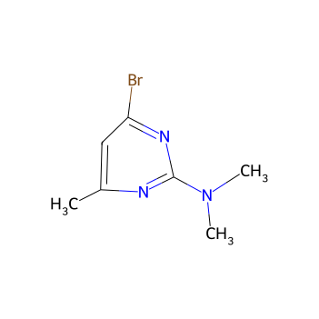 Cc1cc(Br)nc(N(C)C)n1